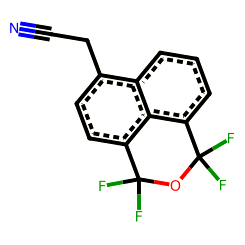 N#CCc1ccc2c3c(cccc13)C(F)(F)OC2(F)F